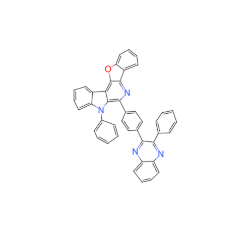 c1ccc(-c2nc3ccccc3nc2-c2ccc(-c3nc4c5ccccc5oc4c4c5ccccc5n(-c5ccccc5)c34)cc2)cc1